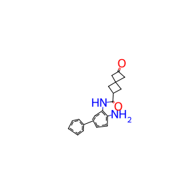 Nc1ccc(-c2ccccc2)cc1NC(=O)C1CC2(CC(=O)C2)C1